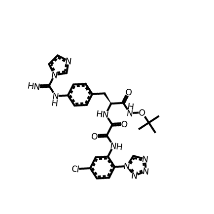 CC(C)(C)ONC(=O)[C@H](Cc1ccc(NC(=N)n2ccnc2)cc1)NC(=O)C(=O)Nc1cc(Cl)ccc1-n1cnnn1